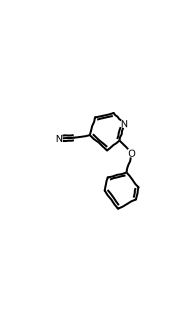 N#Cc1ccnc(Oc2ccccc2)c1